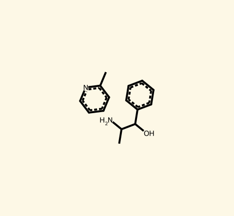 CC(N)C(O)c1ccccc1.Cc1ccccn1